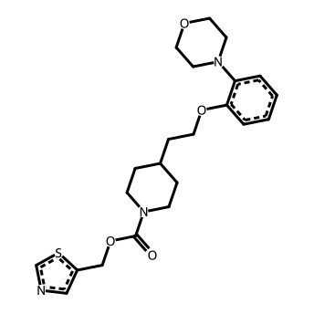 O=C(OCc1cncs1)N1CCC(CCOc2ccccc2N2CCOCC2)CC1